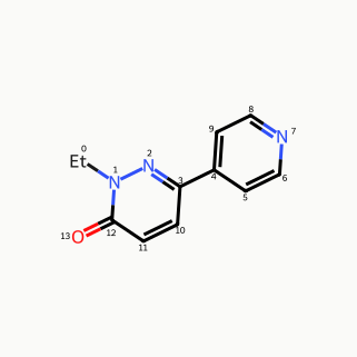 CCn1nc(-c2ccncc2)ccc1=O